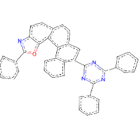 c1ccc(-c2nc(-c3ccccc3)nc(-c3cc4ccc5ccc6nc(-c7ccccc7)oc6c5c4c4ccccc34)n2)cc1